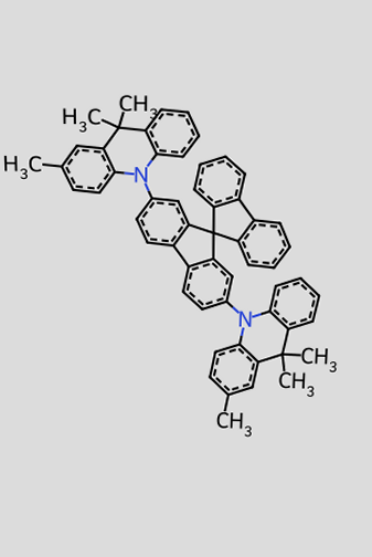 Cc1ccc2c(c1)C(C)(C)c1ccccc1N2c1ccc2c(c1)C1(c3ccccc3-c3ccccc31)c1cc(N3c4ccccc4C(C)(C)c4cc(C)ccc43)ccc1-2